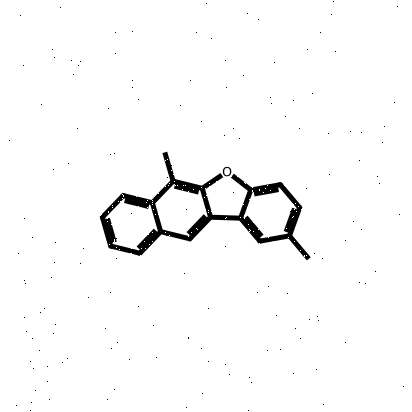 Cc1ccc2oc3c(C)c4ccccc4cc3c2c1